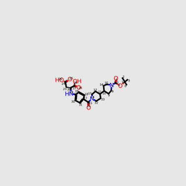 CC(C)(C)OC(=O)N1CCC(C2CCN(C(=O)c3ccc(N[C@@H](CC(=O)O)C(=O)O)cc3)CC2)CC1